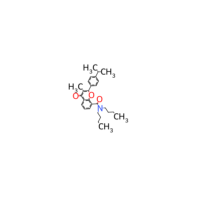 CCCCN(CCCC)C(=O)c1cccc2c(=O)c(C)c(-c3ccc(C(C)C)cc3)oc12